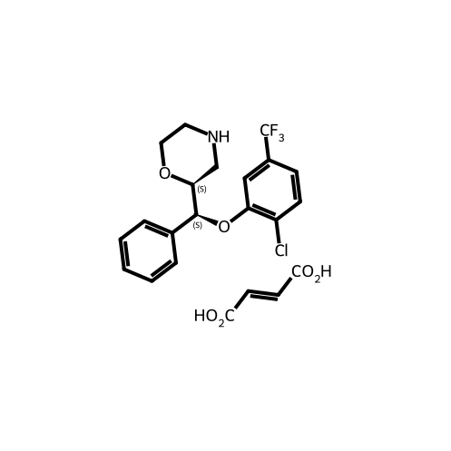 FC(F)(F)c1ccc(Cl)c(O[C@@H](c2ccccc2)[C@@H]2CNCCO2)c1.O=C(O)C=CC(=O)O